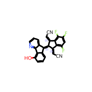 N#C/C=C1C(=C2/c3cccnc3-c3c(O)cccc32)/C(=C/C#N)c2c(F)c(F)cc(F)c2/1